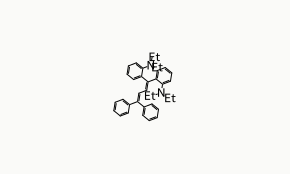 CCN(CC)c1ccccc1C(=CC=C(c1ccccc1)c1ccccc1)c1ccccc1N(CC)CC